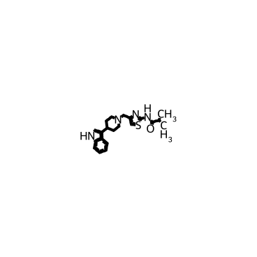 CC(C)C(=O)Nc1nc(CN2CCC(c3c[nH]c4ccccc34)CC2)cs1